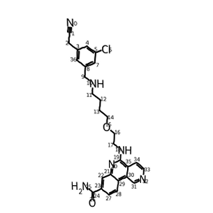 N#CCc1cc(Cl)cc(CNCCCCOCCNc2nc3cc(C(N)=O)ccc3c3cnccc23)c1